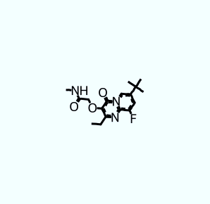 CCc1nc2c(F)cc(C(C)(C)C)cn2c(=O)c1OCC(=O)NC